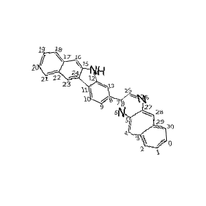 c1ccc2cc3nc(-c4ccc5c(c4)[nH]c4cc6ccccc6cc45)cnc3cc2c1